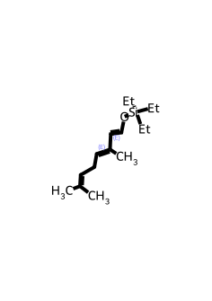 CC[Si](CC)(CC)O/C=C/C(C)=C/CC=C(C)C